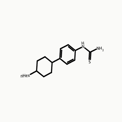 CCCCCCC1CCC(c2ccc(NC(N)=S)cc2)CC1